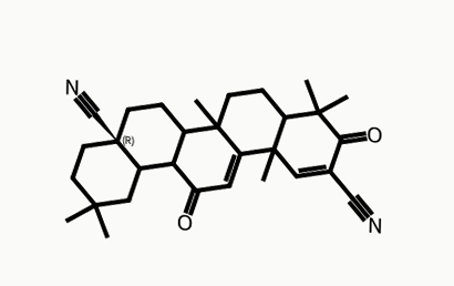 CC1(C)CC[C@]2(C#N)CCC3C(C(=O)C=C4C5(C)C=C(C#N)C(=O)C(C)(C)C5CCC43C)C2C1